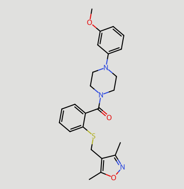 COc1cccc(N2CCN(C(=O)c3ccccc3SCc3c(C)noc3C)CC2)c1